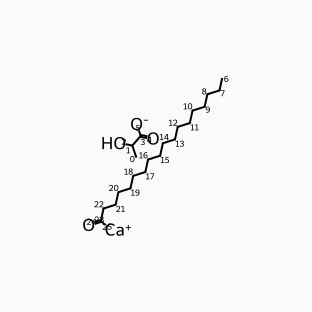 CC(O)C(=O)[O-].CCCCCCCCCCCCCCCCC[C](=O)[Ca+]